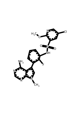 COc1ncc(Cl)cc1S(=O)(=O)Nc1cccc(-c2cn(C)c3ncnc(N)c23)c1F